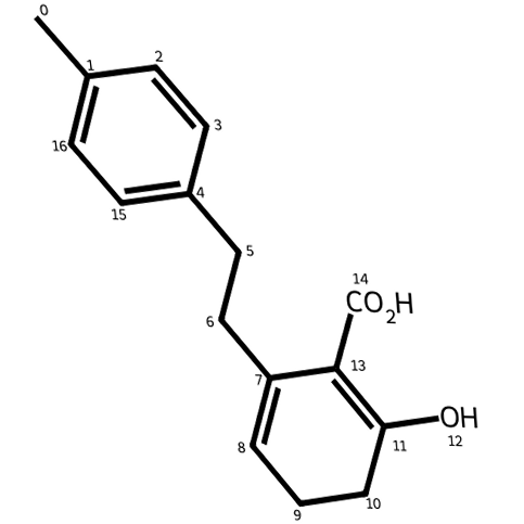 Cc1ccc(CCC2=CCCC(O)=C2C(=O)O)cc1